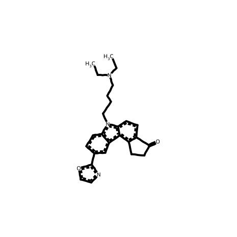 CCN(CC)CCCCn1c2ccc(-c3ncco3)cc2c2c3c(ccc21)C(=O)CC3